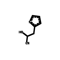 N#CC(O)Cc1cccs1